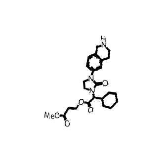 COC(=O)CCOC(=O)C(C1CCCCC1)N1CCN(c2ccc3c(c2)CCNC3)C1=O